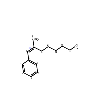 O=C/C(=C/c1ccccc1)CCCCCCl